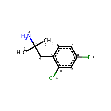 CC(C)(N)Cc1ccc(F)cc1Cl